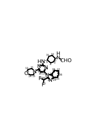 O=CN[C@H]1CC[C@H](Nc2nc(N3CCOCC3)cc(-n3c(C(F)F)nc4ccccc43)n2)CC1